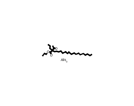 CCCCCCCCCCCCCCCCCCC(CCC)(C(C)=O)C(=O)OCCC.[AlH3]